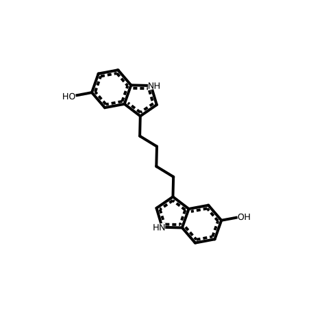 Oc1ccc2[nH]cc(CCCCc3c[nH]c4ccc(O)cc34)c2c1